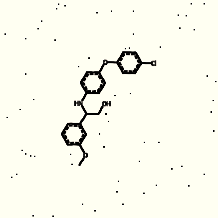 COc1cccc(C(CO)Nc2ccc(Oc3ccc(Cl)cc3)cc2)c1